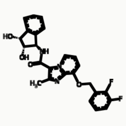 Cc1nc2c(OCc3cccc(F)c3F)cccn2c1C(=O)N[C@@H]1c2ccccc2[C@@H](O)[C@H]1O